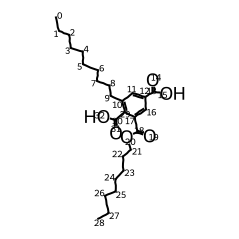 CCCCCCCCCCc1cc(C(=O)O)cc(C(=O)OCCCCCCCC)c1C(=O)O